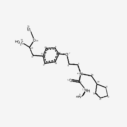 CCCNC(=O)N(CCOc1ccc(CC(OCC)C(=O)O)cc1)CC1CCCC1